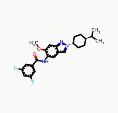 COc1cc2nn([C@H]3CC[C@H](C(C)C)CC3)cc2cc1NC(=O)c1cc(F)cc(F)c1